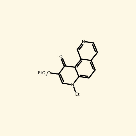 CCOC(=O)c1cn(CC)c2ccc3ccncc3c2c1=O